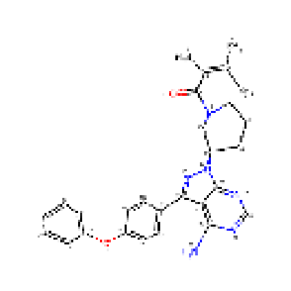 BC(B)=C(B)C(=O)N1CCC[C@@H](n2nc(-c3ccc(Oc4ccccc4)cc3)c3c(N)ncnc32)C1